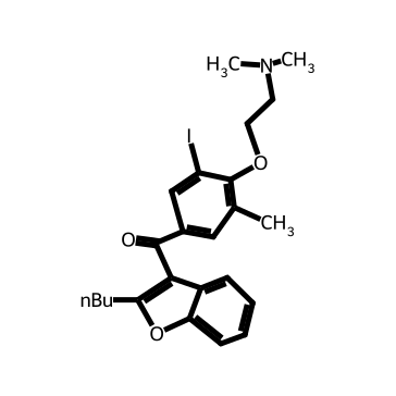 CCCCc1oc2ccccc2c1C(=O)c1cc(C)c(OCCN(C)C)c(I)c1